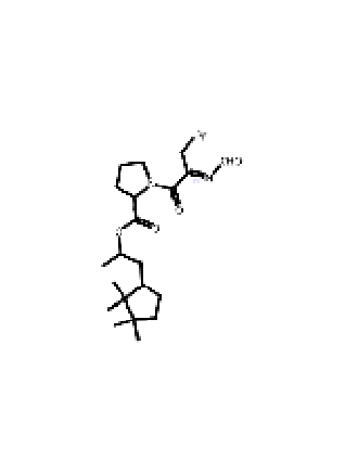 CC(C)C/C(=N\C=O)C(=O)N1CCCC1C(=O)OC(C)CC1CCC(C)(C)C1(C)C